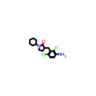 Nc1ccc(Cl)c(CC2CCN(C3CCCCC3)C2=O)c1Cl